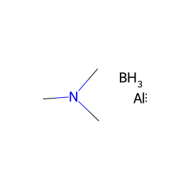 B.CN(C)C.[Al]